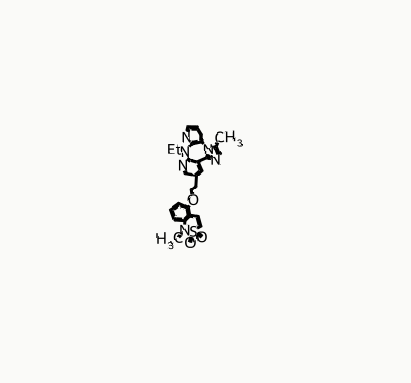 CCN1c2ncc(CCOc3cccc4c3C=CS(=O)(=O)N4C)cc2-c2ncc(C)n2-c2cccnc21